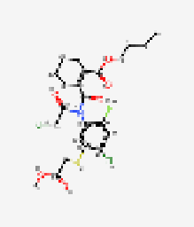 CCCCOC(=O)C1=C(C(=O)N(C(=O)CCl)c2cc(SCC(=O)OC)c(Cl)cc2F)CCCC1